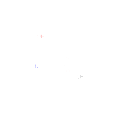 CCOC(=O)c1ccc(N)c(C#CCO)c1